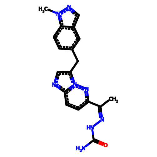 C/C(=N/NC(N)=O)c1ccc2ncc(Cc3ccc4c(cnn4C)c3)n2n1